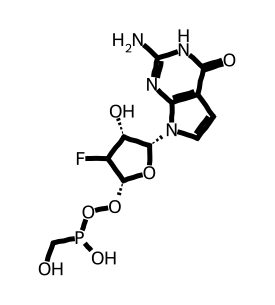 Nc1nc2c(ccn2[C@@H]2O[C@H](OOP(O)CO)C(F)[C@@H]2O)c(=O)[nH]1